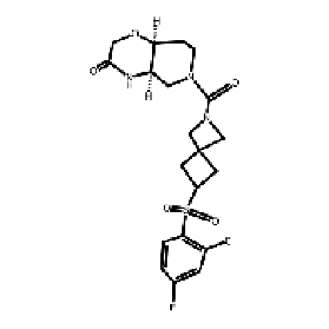 O=C1CO[C@H]2CCN(C(=O)N3CC4(CC(S(=O)(=O)c5ccc(F)cc5Cl)C4)C3)C[C@H]2N1